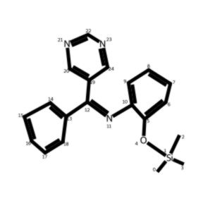 C[Si](C)(C)Oc1ccccc1N=C(c1ccccc1)c1cncnc1